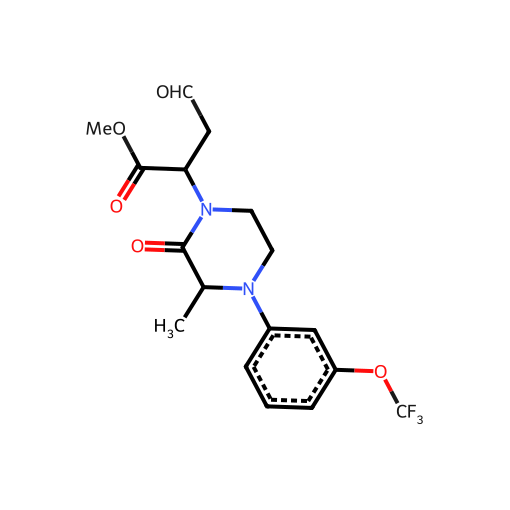 COC(=O)C(CC=O)N1CCN(c2cccc(OC(F)(F)F)c2)C(C)C1=O